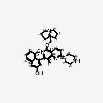 Oc1cc(-c2nc(OCC34CCCN3CCC4)c3ccc(N4CCNCC4)nc3c2F)c2c(Cl)cccc2c1